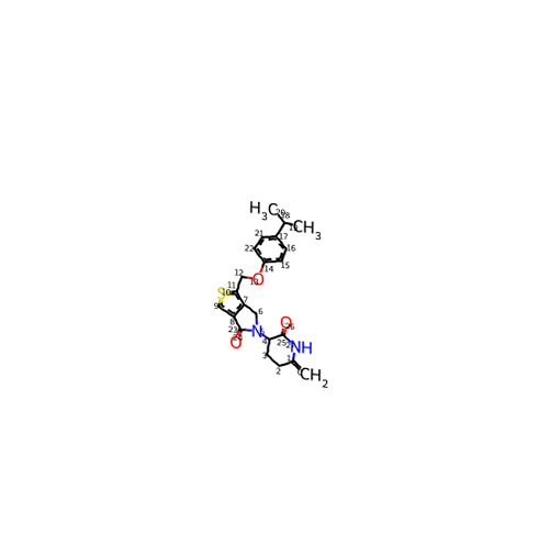 C=C1CCC(N2Cc3c(csc3COc3ccc(C(C)C)cc3)C2=O)C(=O)N1